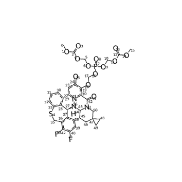 COC(=O)OCOP(=O)(OCOC(=O)OC)OCOc1c2n(ccc1=O)N([C@@H]1c3ccccc3SCc3c1ccc(F)c3F)[C@@H]1CCC3(CC3)CN1C2=O